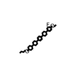 CCCCOC1CCC(C2CCC(c3ccc(C4CCC(c5ccc(OCC)c(F)c5)CC4)cc3)CC2)CC1